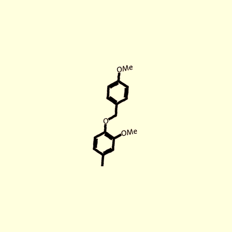 COc1ccc(COc2ccc(C)cc2OC)cc1